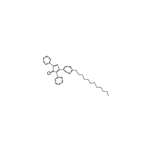 CCCCCCCCCCCCc1ccc(C2=C(c3ccccc3)C(=O)C(c3ccccc3)=C2)cc1